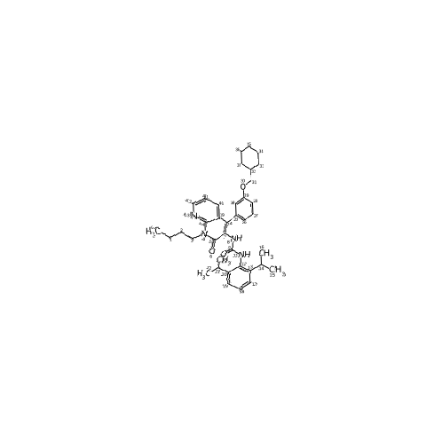 CCCCn1c(=O)c(NC(=O)Nc2c(C(C)C)cccc2C(C)C)c(-c2cccc(OCC3CCCCC3)c2)c2cccnc21